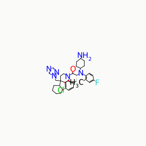 Cc1cc(F)ccc1N([C@H]1CC[C@@H](N)CC1)[C@H](Cc1ccc(Cl)cc1)C(=O)N1CCC(Cn2cncn2)(C2CCCCC2)CC1